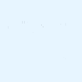 CC(CCS(=O)(=O)O)NC1(C)CCCCC1C